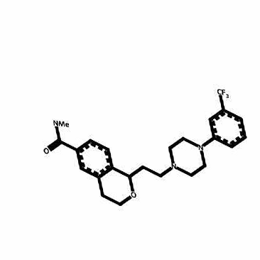 CNC(=O)c1ccc2c(c1)CCOC2CCN1CCN(c2cccc(C(F)(F)F)c2)CC1